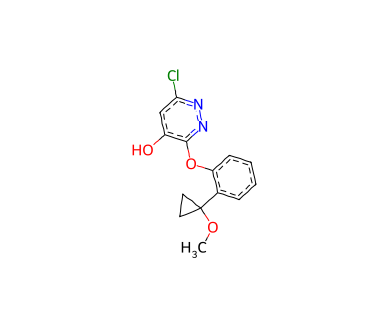 COC1(c2ccccc2Oc2nnc(Cl)cc2O)CC1